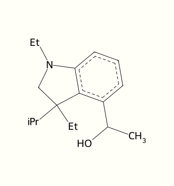 CCN1CC(CC)(C(C)C)c2c(C(C)O)cccc21